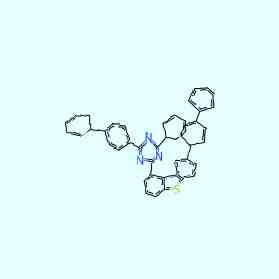 C1=CCC(c2ccc(-c3nc(-c4cccc5sc6ccc(C7C=CC(c8ccccc8)=CC7)cc6c45)nc(C4C=CC=CC4)n3)cc2)C=C1